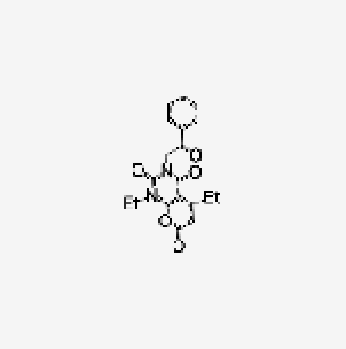 CCc1cc(=O)oc2c1c(=O)n(CC(=O)c1ccccc1)c(=O)n2CC